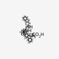 CN(C[C@H](O)CNC(C)(C)CC1Cc2ccccc2C1)S(=O)(=O)c1ccc(-c2ccccc2CCC(=O)O)c(C(F)(F)F)c1